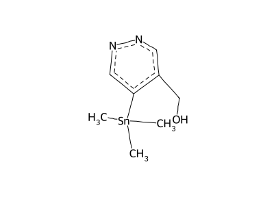 [CH3][Sn]([CH3])([CH3])[c]1cnncc1CO